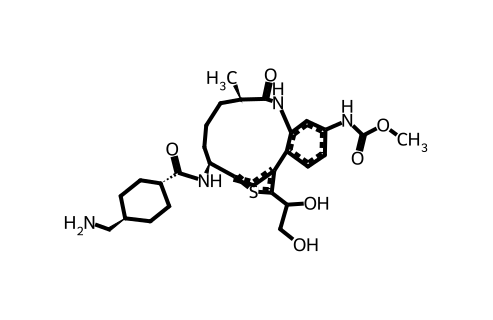 COC(=O)Nc1ccc2c(c1)NC(=O)[C@H](C)CCC[C@H](NC(=O)[C@H]1CC[C@H](CN)CC1)c1cc-2c(C(O)CO)s1